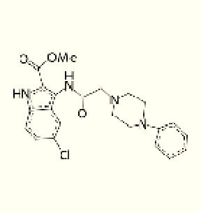 COC(=O)c1[nH]c2ccc(Cl)cc2c1NC(=O)CN1CCN(c2ccccc2)CC1